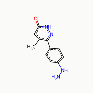 Cc1cc(=O)[nH]nc1-c1ccc(NN)cc1